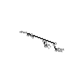 CCCCCC(CCCCC)CCOC(=O)CCCCCCCC(CCCCCCCC(=O)OCCC(CCCCC)CCCCC)OC(=O)CN(C)C